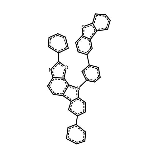 c1ccc(-c2ccc3c(c2)c2ccc4nc(-c5ccccc5)oc4c2n3-c2cccc(-c3ccc4sc5ccccc5c4c3)c2)cc1